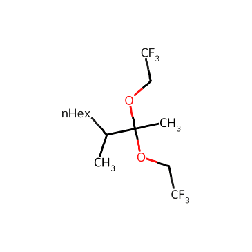 CCCCCCC(C)C(C)(OCC(F)(F)F)OCC(F)(F)F